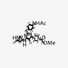 COCC(=O)N1CCN(c2nc(Sc3ccc(NC(C)=O)cc3)nc(Nc3cc(C)[nH]n3)c2C)CC1